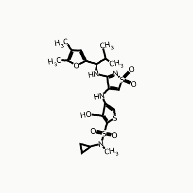 Cc1cc([C@H](NC2=NS(=O)(=O)C=C2Nc2csc(S(=O)(=O)N(C)C3CC3)c2O)C(C)C)oc1C